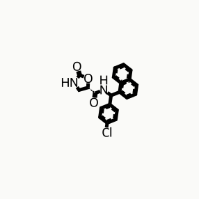 O=C1NC[C@@H](C(=O)NC(c2ccc(Cl)cc2)c2cccc3ccccc23)O1